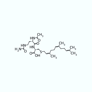 CC(=O)N[C@H](CCNC(N)=O)C(=O)N[C@@H](CSCC=C(C)CCC=C(C)CCC=C(C)C)C(=O)O